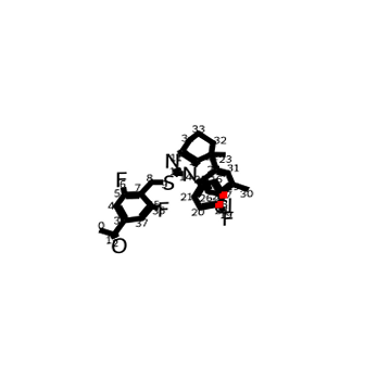 CC(=O)c1cc(F)c(CSc2nc3c(n2-c2ccc(F)cc2)C(C)(c2ccc(Cl)c(C)c2)CCC3)c(F)c1